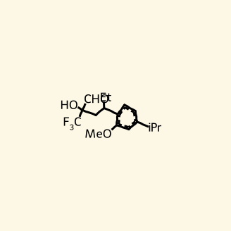 CCC(CC(O)(C=O)C(F)(F)F)c1ccc(C(C)C)cc1OC